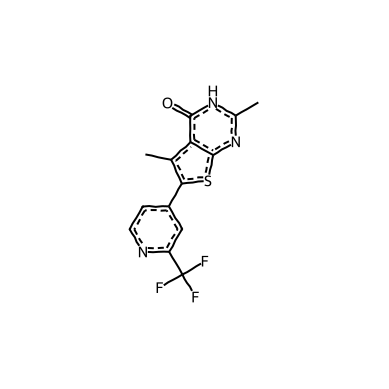 Cc1nc2sc(-c3ccnc(C(F)(F)F)c3)c(C)c2c(=O)[nH]1